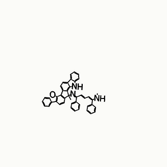 CN/C(=C/C=C/C(=N/C1(C)c2ccc3c(oc4ccccc43)c2-c2ccc3c([nH]c4ccccc43)c21)c1ccccc1)c1ccccc1